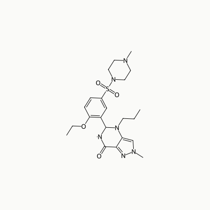 CCCN1c2cn(C)nc2C(=O)[N]C1c1cc(S(=O)(=O)N2CCN(C)CC2)ccc1OCC